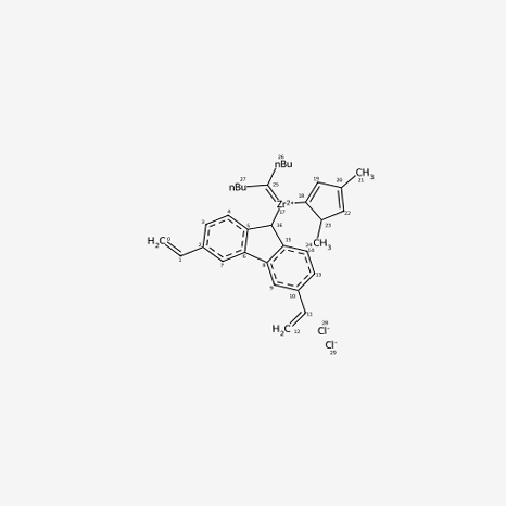 C=Cc1ccc2c(c1)-c1cc(C=C)ccc1[CH]2[Zr+2]([C]1=CC(C)=CC1C)=[C](CCCC)CCCC.[Cl-].[Cl-]